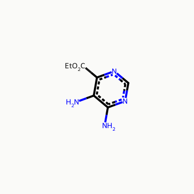 CCOC(=O)c1ncnc(N)c1N